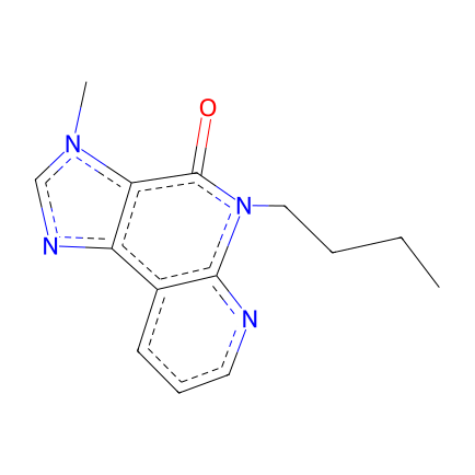 CCCCn1c(=O)c2c(ncn2C)c2cccnc21